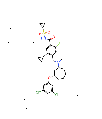 CN(Cc1cc(F)c(C(=O)NS(=O)(=O)C2CC2)cc1C1CC1)[C@H]1CCCC[C@H](Oc2cc(Cl)cc(Cl)c2)C1